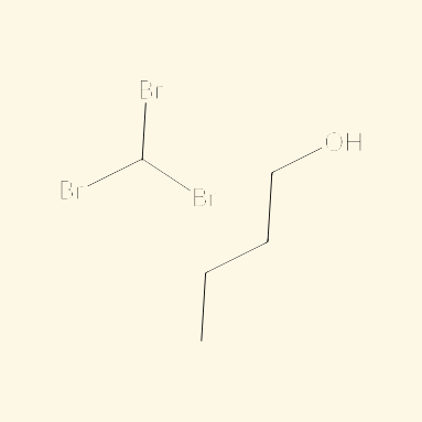 BrC(Br)Br.CCCCO